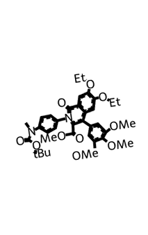 CCOc1cc2c(-c3cc(OC)c(OC)c(OC)c3)c(C(=O)OC)n(-c3ccc(N(C)C(=O)OC(C)(C)C)cc3)c(=O)c2cc1OCC